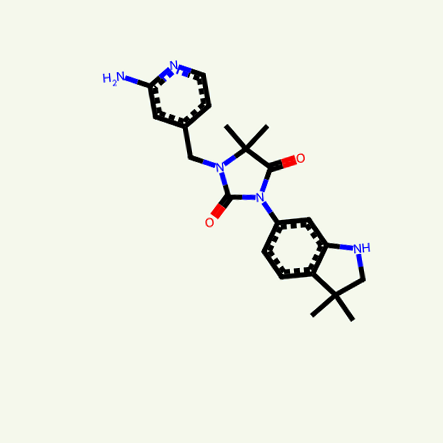 CC1(C)CNc2cc(N3C(=O)N(Cc4ccnc(N)c4)C(C)(C)C3=O)ccc21